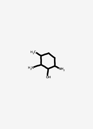 CC1CCC(N)C(O)C1N